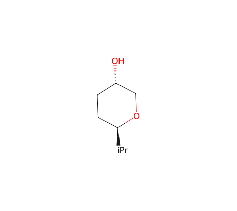 CC(C)[C@H]1CC[C@H](O)CO1